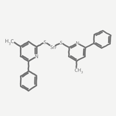 Cc1cc([S][Sn][S]c2cc(C)cc(-c3ccccc3)n2)nc(-c2ccccc2)c1